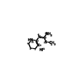 CSC(N)=NC1=NCCCN1.I